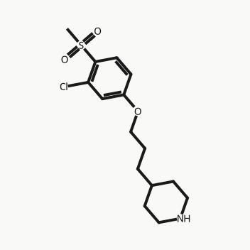 CS(=O)(=O)c1ccc(OCCCC2CCNCC2)cc1Cl